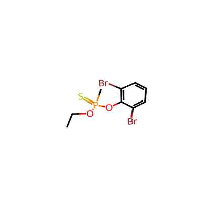 CCOP(C)(=S)Oc1c(Br)cccc1Br